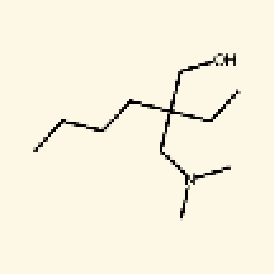 CCCCC(CC)(CO)CN(C)C